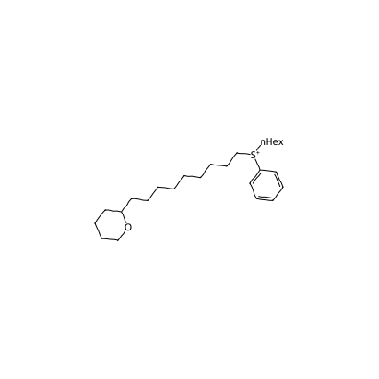 CCCCCC[S+](CCCCCCCCCC1CCCCO1)c1ccccc1